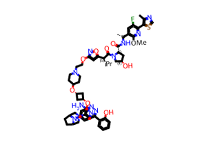 COc1nc(-c2scnc2C)c(F)cc1[C@@H](C)NC(=O)[C@@H]1C[C@@H](O)CN1C(=O)[C@H](c1cc(OCCN2CCC(O[C@H]3C[C@H](Oc4cc(N5C6CCC5CN(c5cc(-c7ccccc7O)nnc5N)C6)ccn4)C3)CC2)no1)C(C)C